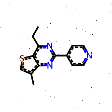 CCc1nc(-c2ccncc2)nc2c(C)csc12